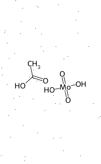 CC(=O)O.[O]=[Mo](=[O])([OH])[OH]